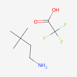 CC(C)(C)CCN.O=C(O)C(F)(F)F